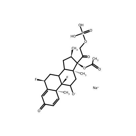 CC(=O)O[C@]1(C(=O)COP(=O)(O)O)[C@H](C)CC2C3C[C@H](F)C4=CC(=O)C=C[C@]4(C)[C@@]3(F)C([O-])C[C@@]21C.[Na+]